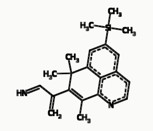 C=C(C=N)C1=C(C)c2nccc3cc([Si](C)(C)C)cc(c23)C1(C)C